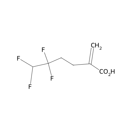 C=C(CCC(F)(F)C(F)F)C(=O)O